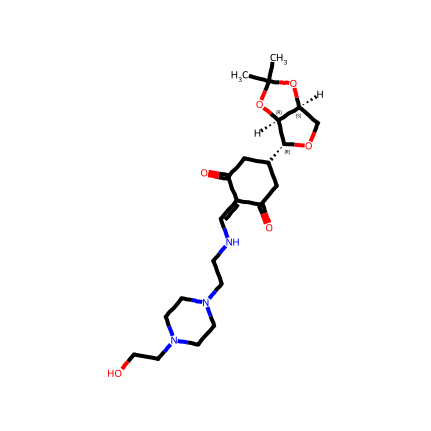 CC1(C)O[C@H]2[C@H](CO[C@@H]2C2CC(=O)C(=CNCCN3CCN(CCO)CC3)C(=O)C2)O1